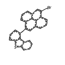 Brc1cc2cccc3c(-c4cccc5sc6ccccc6c45)cc4cccc1c4c23